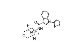 CN1[C@@H]2COC[C@H]1CC(NC(=O)c1cn(-c3ccsn3)c3ccccc13)C2